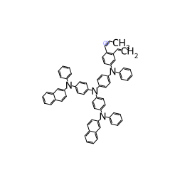 C=Cc1cc(N(c2ccccc2)c2ccc(N(c3ccc(N(c4ccccc4)c4ccc5ccccc5c4)cc3)c3ccc(N(c4ccccc4)c4ccc5ccccc5c4)cc3)cc2)ccc1/C=C\C